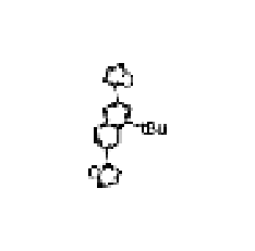 CC(C)(C)c1cc(-c2ccco2)cc2ccc(-c3ccco3)cc12